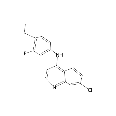 CCc1ccc(Nc2ccnc3cc(Cl)ccc23)cc1F